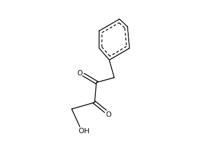 O=C(CO)C(=O)Cc1ccccc1